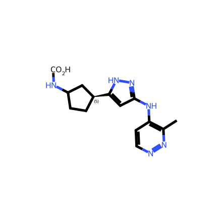 Cc1nnccc1Nc1cc([C@H]2CCC(NC(=O)O)C2)[nH]n1